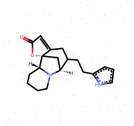 O=C1C=C2CC(CCc3ccc[nH]3)[C@@H]3C[C@@]2(O1)[C@H]1CCCCN31